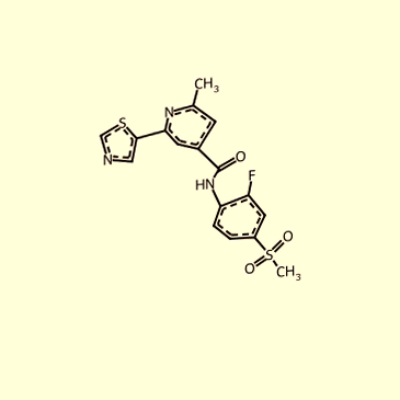 Cc1cc(C(=O)Nc2ccc(S(C)(=O)=O)cc2F)cc(-c2cncs2)n1